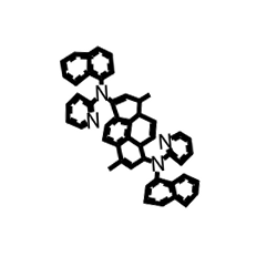 CC1=CC(N(c2ccccn2)c2cccc3ccccc23)C2C=CC3c4c(ccc1c42)C(N(c1ccccn1)c1cccc2ccccc12)=CC3C